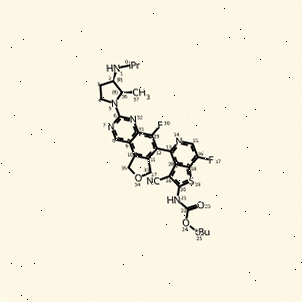 CC(C)N[C@@H]1CCN(c2ncc3c4c(c(-c5ncc(F)c6sc(NC(=O)OC(C)(C)C)c(C#N)c56)c(F)c3n2)COC4)[C@@H]1C